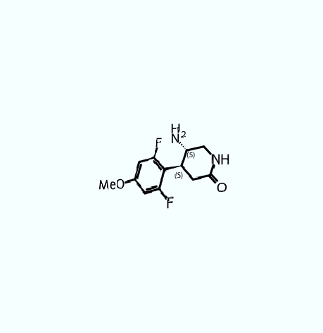 COc1cc(F)c([C@@H]2CC(=O)NC[C@H]2N)c(F)c1